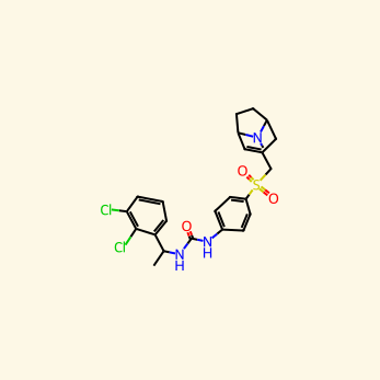 CC(NC(=O)Nc1ccc(S(=O)(=O)CC2=CC3CCC(C2)N3C)cc1)c1cccc(Cl)c1Cl